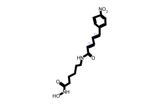 O=C(/C=C/C=C/c1ccc([N+](=O)[O-])cc1)NCCCCCC(=O)NO